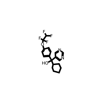 OC(c1ccc(OC(F)(F)C(F)F)cc1)(c1cncnc1)C1CCCCC1